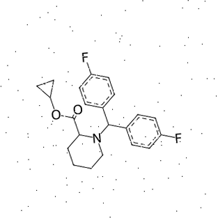 O=C(OC1CC1)C1CCCCN1C(c1ccc(F)cc1)c1ccc(F)cc1